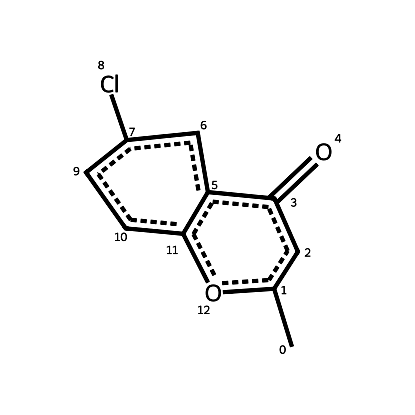 Cc1cc(=O)c2cc(Cl)ccc2o1